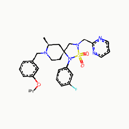 CC(C)Oc1cccc(CN2CC[C@@]3(C[C@@H]2C)CN(Cc2ncccn2)S(=O)(=O)N3c2cccc(F)c2)c1